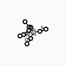 c1ccc(-c2ccc(C3N=C(c4ccc5c(c4)sc4ccccc45)N=C(c4ccc5c(oc6ccccc65)c4-n4c5cc6ccccc6cc5c5cc6ccccc6cc54)N3)cc2)cc1